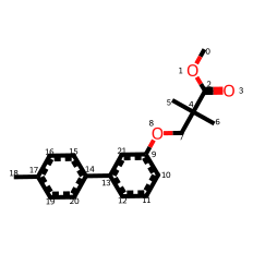 COC(=O)C(C)(C)COc1cccc(-c2ccc(C)cc2)c1